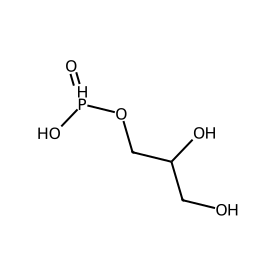 O=[PH](O)OCC(O)CO